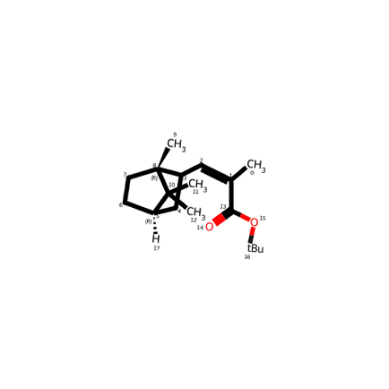 CC(=CC1C[C@H]2CC[C@@]1(C)C2(C)C)C(=O)OC(C)(C)C